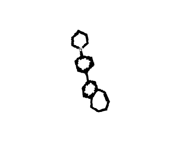 C1=Cc2cc(-c3ccc(N4CCCCC4)cc3)ccc2CCC1